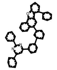 c1ccc(-c2cc(-c3cccc(-c4cccc(-c5cc6c(oc7cccc(-c8ccccc8)c76)c6ccccc56)c4)c3)nc(-c3ccccc3)n2)cc1